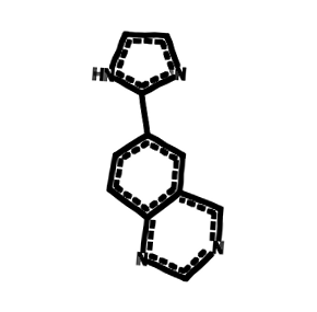 c1c[nH]c(-c2ccc3ncncc3c2)n1